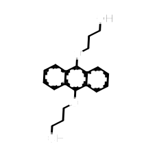 OCCCOc1c2ccccc2c(OCCCO)c2ccccc12